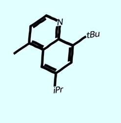 Cc1ccnc2c(C(C)(C)C)cc(C(C)C)cc12